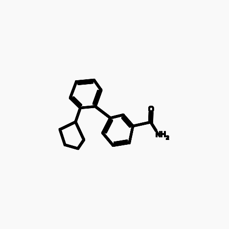 NC(=O)c1cccc(-c2ccccc2C2CCCC2)c1